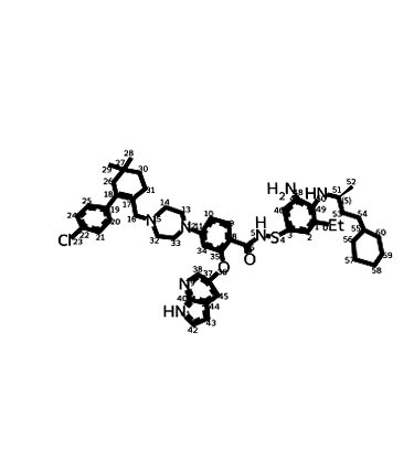 CCc1cc(SNC(=O)c2ccc(N3CCN(CC4=C(c5ccc(Cl)cc5)CC(C)(C)CC4)CC3)cc2Oc2cnc3[nH]ccc3c2)cc(N)c1N[C@@H](C)CCC1CCCCC1